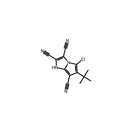 CC(C)(C)c1c(C#N)c2[nH]c(C#N)c(C#N)n2c1Cl